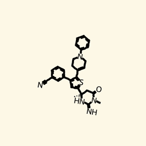 CN1C(=N)N[C@@](C)(c2cc(-c3cccc(C#N)c3)c(C3=CCN(c4ccccc4)CC3)s2)CC1=O